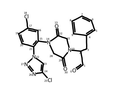 O=CC(Cc1ccccc1)N1CC(=O)N(c2cc(Cl)ccc2-n2cc(Cl)nn2)CC1=O